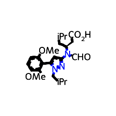 COc1cccc(OC)c1-c1cc(N(C=O)[C@H](CC(=O)O)CC(C)C)nn1CC(C)C